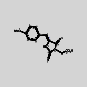 COc1ccc(/C=C2\NC(=S)N(CC(=O)O)C2=O)cc1